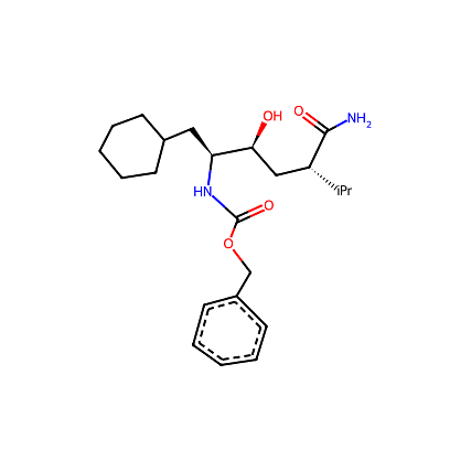 CC(C)[C@H](C[C@H](O)[C@H](CC1CCCCC1)NC(=O)OCc1ccccc1)C(N)=O